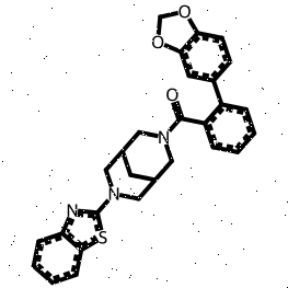 O=C(c1ccccc1-c1ccc2c(c1)OCO2)N1CC2CC(C1)CN(c1nc3ccccc3s1)C2